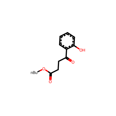 CCCCOC(=O)CCC(=O)c1ccccc1O